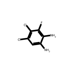 Nc1cc(Cl)c(Cl)c(F)c1N